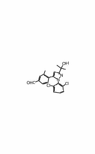 Cc1cc(C=O)ccc1-c1cc(C(C)(C)O)nn1-c1c(Cl)cccc1Cl